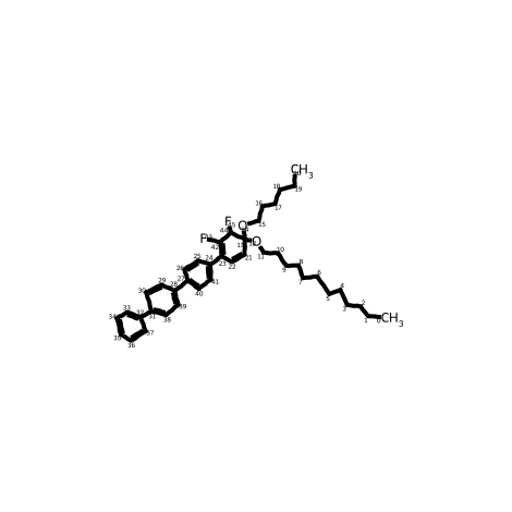 CCCCCCCCCCCCOC1(OCCCCCC)C=CC(c2ccc(-c3ccc(-c4ccccc4)cc3)cc2)=C(F)C1F